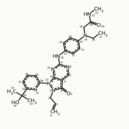 C=CCn1c(=O)c2cnc(Nc3ccc(N(CC)CC(=O)NC)cc3)nc2n1-c1cccc(C(C)(C)O)n1